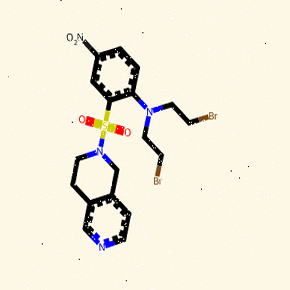 O=[N+]([O-])c1ccc(N(CCBr)CCBr)c(S(=O)(=O)N2CCc3cnccc3C2)c1